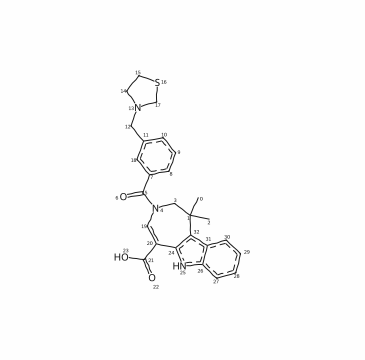 CC1(C)CN(C(=O)c2cccc(CN3CCSC3)c2)C=C(C(=O)O)c2[nH]c3ccccc3c21